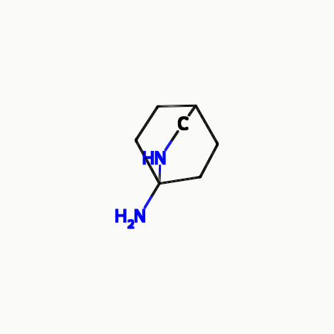 NC12CCC(CC1)CN2